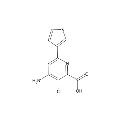 Nc1cc(-c2ccsc2)nc(C(=O)O)c1Cl